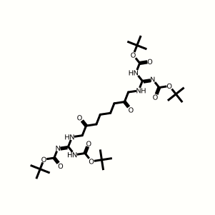 CC(C)(C)OC(=O)/N=C(/NCC(=O)CCCCC(=O)CN/C(=N\C(=O)OC(C)(C)C)NC(=O)OC(C)(C)C)NC(=O)OC(C)(C)C